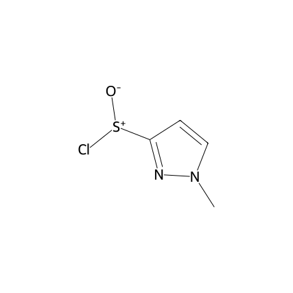 Cn1ccc([S+]([O-])Cl)n1